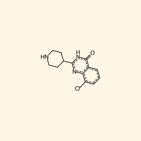 O=c1[nH]c(C2CCNCC2)nc2c(Cl)cccc12